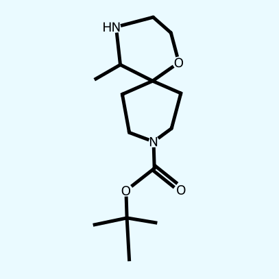 CC1NCCOC12CCN(C(=O)OC(C)(C)C)CC2